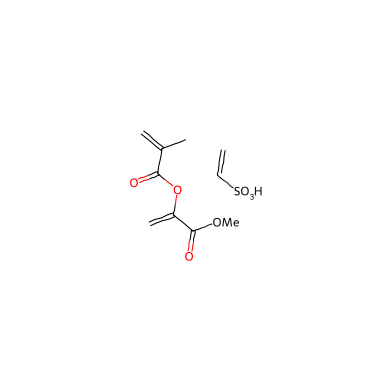 C=C(C)C(=O)OC(=C)C(=O)OC.C=CS(=O)(=O)O